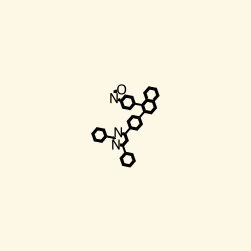 c1ccc(-c2cc(-c3ccc(-c4ccc5ccccc5c4-c4ccc5ncoc5c4)cc3)nc(-c3ccccc3)n2)cc1